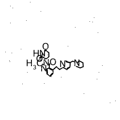 Cc1nc2cccc(CCc3ccc(CN4CCCCC4)cn3)c2c(=O)n1C1CCC(=O)NC1=O